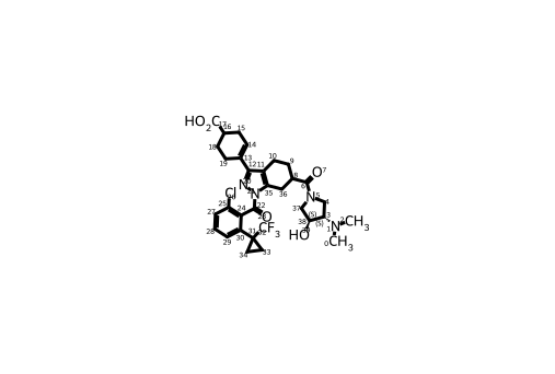 CN(C)[C@H]1CN(C(=O)C2CCc3c(C4=CCC(C(=O)O)CC4)nn(C(=O)c4c(Cl)cccc4C4(C(F)(F)F)CC4)c3C2)C[C@@H]1O